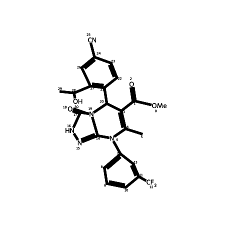 COC(=O)C1=C(C)N(c2cccc(C(F)(F)F)c2)c2n[nH]c(=O)n2C1c1ccc(C#N)cc1C(C)O